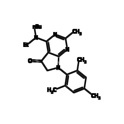 CCCCN(CC)c1nc(C)nc2c1C(=O)CN2c1c(C)cc(C)cc1C